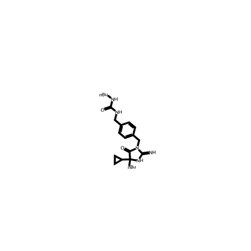 CCCCNC(=O)NCc1ccc(CN2C(=N)NC(CCCC)(C3CC3)C2=O)cc1